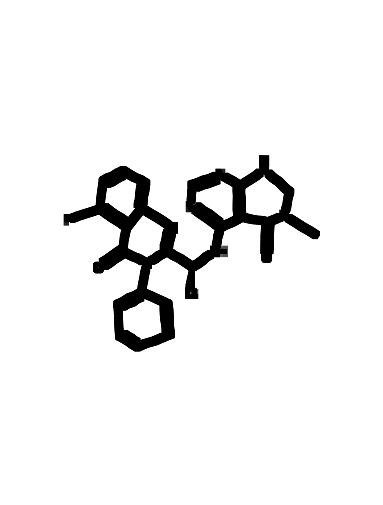 CC[C@H](Nc1ncnc2c1C(=O)N(C)CN2)c1nc2cccc(F)c2c(=O)n1-c1ccccc1